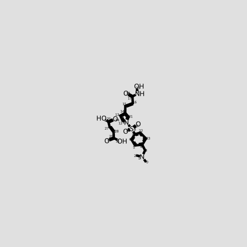 CN(C)Cc1ccc(S(=O)(=O)n2ccc(C=CC(=O)NO)c2)cc1.O=C(O)C=CC(=O)O